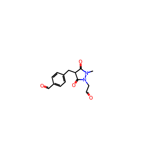 CN1C(=O)C(Cc2ccc(C=O)cc2)C(=O)N1CC=O